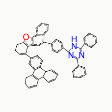 C1=CC2C3=C(CCC=C3)c3cc(C4=CCCc5oc6c(cc(-c7ccc(C8N=C(c9ccccc9)N=C(c9ccccc9)N8)cc7)c7ccccc76)c54)ccc3C2C=C1